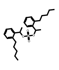 CCCCCc1ccccc1C(C)OS(=O)(=O)OC(C)c1ccccc1CCCCC